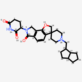 O=C1CCC(N2Cc3c(ccc4c3OCC43CCN(CC4CCC5CCCC54)CC3)C2=O)C(=O)N1